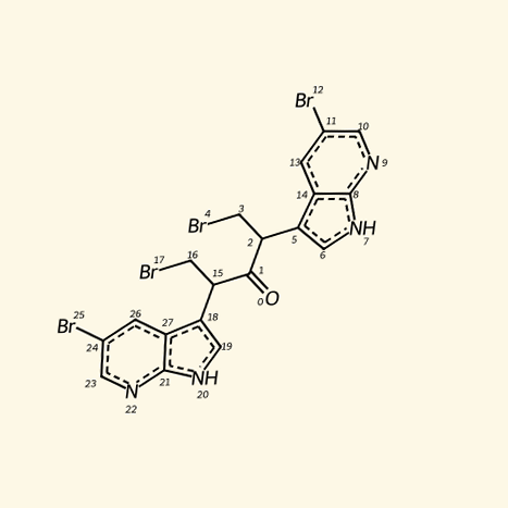 O=C(C(CBr)c1c[nH]c2ncc(Br)cc12)C(CBr)c1c[nH]c2ncc(Br)cc12